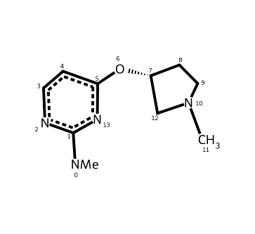 CNc1nccc(O[C@@H]2CCN(C)C2)n1